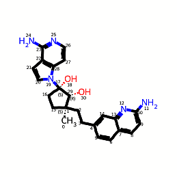 C[C@]1(CCc2ccc3ccc(N)nc3c2)CC[C@@](O)(n2ccc3c(N)nccc32)[C@@H]1O